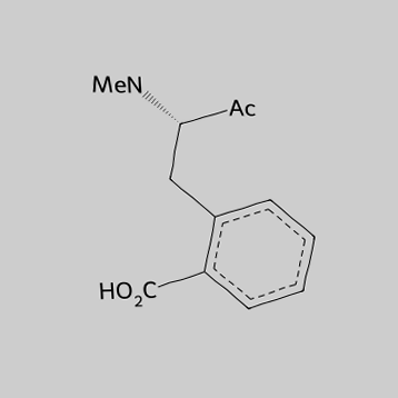 CN[C@@H](Cc1ccccc1C(=O)O)C(C)=O